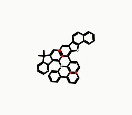 CC1(C)c2ccccc2-c2c(N(c3ccccc3-c3ccccc3)c3ccccc3-c3cccc4c3oc3c5ccccc5ccc43)cccc21